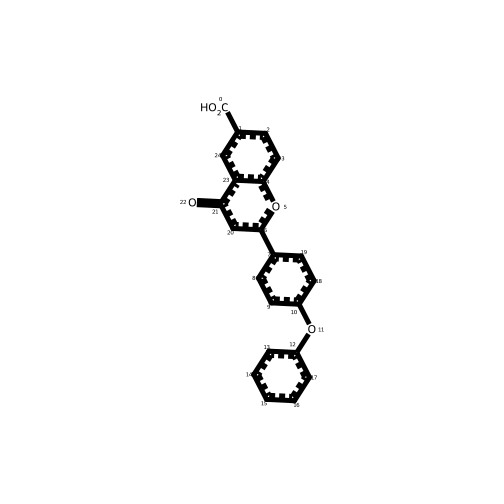 O=C(O)c1ccc2oc(-c3ccc(Oc4ccccc4)cc3)cc(=O)c2c1